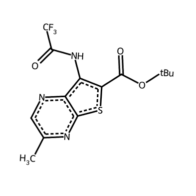 Cc1cnc2c(NC(=O)C(F)(F)F)c(C(=O)OC(C)(C)C)sc2n1